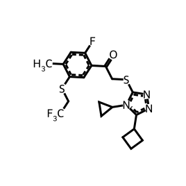 Cc1cc(F)c(C(=O)CSc2nnc(C3CCC3)n2C2CC2)cc1SCC(F)(F)F